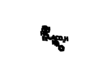 CC[C@@H](CNC(=O)OC(C)(C)C)C[C@H]1C[C@]1(C(=O)O)c1cn(-c2ccccc2)cn1